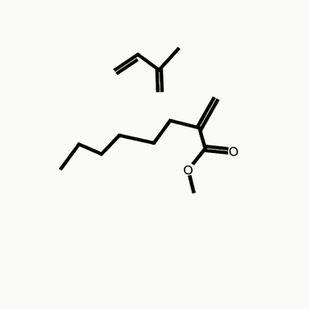 C=C(CCCCCC)C(=O)OC.C=CC(=C)C